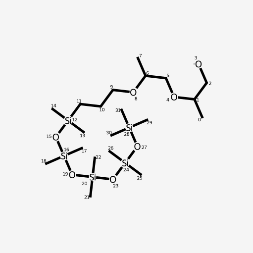 CC(C[O])OCC(C)OCCC[Si](C)(C)O[Si](C)(C)O[Si](C)(C)O[Si](C)(C)O[Si](C)(C)C